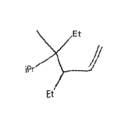 C=CC(CC)C(C)(CC)C(C)C